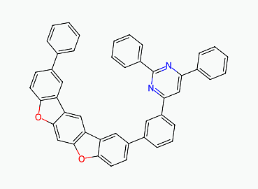 c1ccc(-c2ccc3oc4cc5oc6ccc(-c7cccc(-c8cc(-c9ccccc9)nc(-c9ccccc9)n8)c7)cc6c5cc4c3c2)cc1